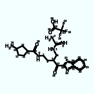 N=C(N)NCC(CCNC(=O)C1CCC(N)C1)C(=O)c1nc2ccccc2s1.O=C(O)C(F)(F)F